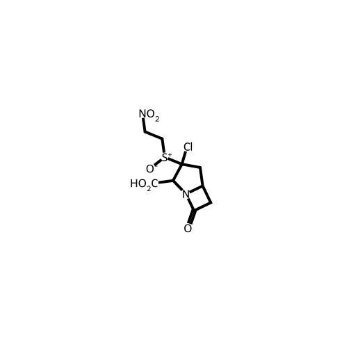 O=C(O)C1N2C(=O)CC2CC1(Cl)[S+]([O-])CC[N+](=O)[O-]